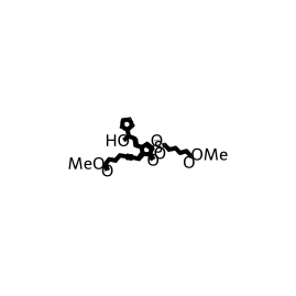 COC(=O)CCCC#CC=C1C(=O)C(S(=O)(=O)CCCCCC(=O)OC)=CC1C=CC(O)C1CCCC1